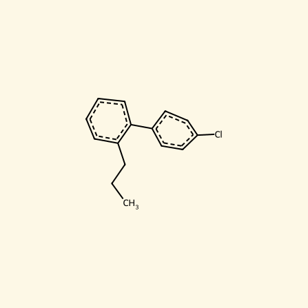 CCCc1ccccc1-c1ccc(Cl)cc1